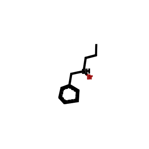 CCC[SiH](Br)Cc1ccccc1